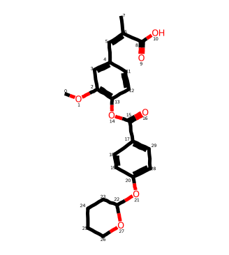 COc1cc(C=C(C)C(=O)O)ccc1OC(=O)c1ccc(OC2CCCCO2)cc1